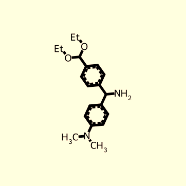 CCOC(OCC)c1ccc(C(N)c2ccc(N(C)C)cc2)cc1